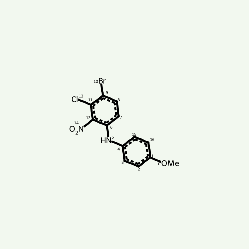 COc1ccc(Nc2ccc(Br)c(Cl)c2[N+](=O)[O-])cc1